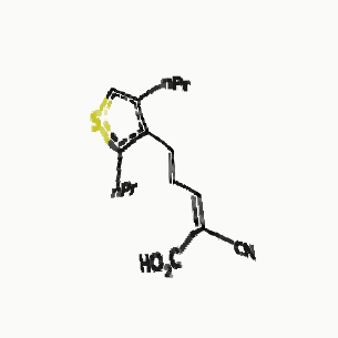 CCCc1csc(CCC)c1C=CC=C(C#N)C(=O)O